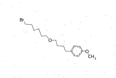 COc1ccc(CCCCOCCCCCCBr)cc1